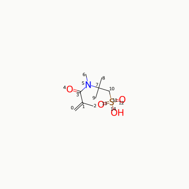 C=C(C)C(=O)N(C)C(C)(C)CS(=O)(=O)O